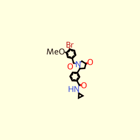 COc1cc(C(=O)N2CC(=O)CC2c2cccc(C(=O)NC3CC3)c2)ccc1Br